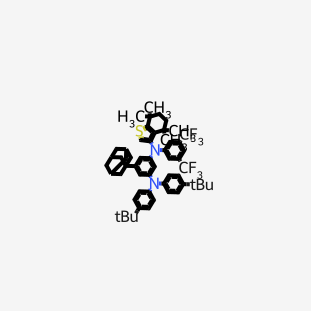 CC(C)(C)c1ccc(N(c2ccc(C(C)(C)C)cc2)c2cc(N(c3cc(C(F)(F)F)cc(C(F)(F)F)c3)c3csc4c3C(C)(C)CCC4(C)C)cc(C34CC5CC(CC(C5)C3)C4)c2)cc1